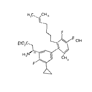 CCOC(=O)C[C@H](N)c1cc(-c2c(C)cc(F)c(F)c2CCCCC=C(C)C)cc(C2CC2)c1F.Cl